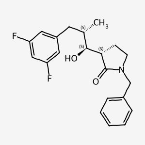 C[C@@H](Cc1cc(F)cc(F)c1)[C@H](O)[C@@H]1CCN(Cc2ccccc2)C1=O